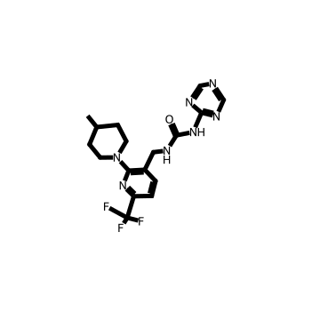 CC1CCN(c2nc(C(F)(F)F)ccc2CNC(=O)Nc2ncncn2)CC1